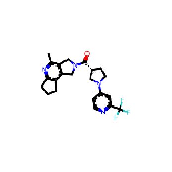 Cc1nc2c(c3c1CN(C(=O)[C@@H]1CCN(c4ccnc(C(F)(F)F)c4)C1)C3)CCC2